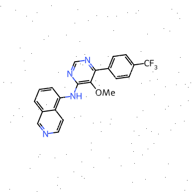 COc1c(Nc2cccc3cnccc23)ncnc1-c1ccc(C(F)(F)F)cc1